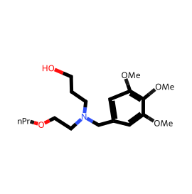 CCCOCCN(CCCO)Cc1cc(OC)c(OC)c(OC)c1